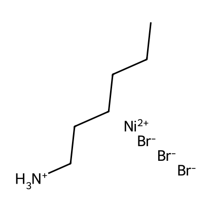 CCCCCC[NH3+].[Br-].[Br-].[Br-].[Ni+2]